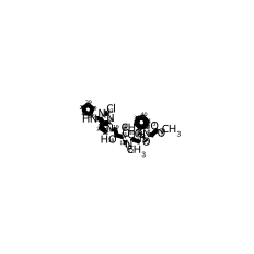 COC(=O)CNP(=O)(CC(=O)N(C)C[C@@H](OC)[C@@H](O)Cn1ccc2c(NC3CCCC3)nc(Cl)nc21)Oc1ccccc1